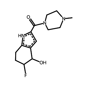 CN1CCN(C(=O)c2cc3c([nH]2)CCC(F)C3O)CC1